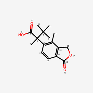 Cc1c(C(C)(C(=O)O)C(C)(C)C)ccc2c1COC2=O